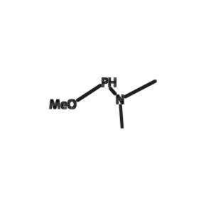 COPN(C)C